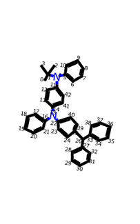 CC(C)(C)N(c1ccccc1)c1ccc(N(c2ccccc2)c2ccc(C(c3ccccc3)c3ccccc3)cc2)cc1